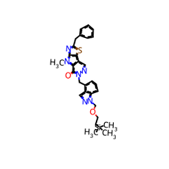 Cn1c2nc(Cc3ccccc3)sc2c2cnn(Cc3cccc4c3cnn4COCC[Si](C)(C)C)c(=O)c21